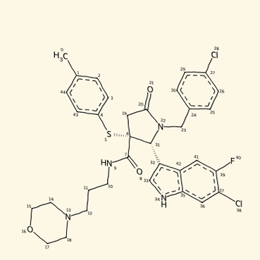 Cc1ccc(S[C@]2(C(=O)NCCCN3CCOCC3)CC(=O)N(Cc3ccc(Cl)cc3)[C@@H]2c2c[nH]c3cc(Cl)c(F)cc23)cc1